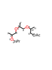 CCCOC(C)COC(C)COC(C)COC(C)=O